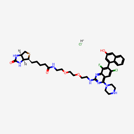 O=C(CCCC[C@@H]1SC[C@@H]2NC(=O)N[C@@H]21)NCCOCCOCCNc1nc(N2CCNCC2)c2cc(Cl)c(-c3cc(O)cc4ccccc34)c(F)c2n1.[Cl-].[H+]